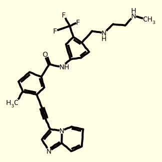 CNCCNCc1ccc(NC(=O)c2ccc(C)c(C#Cc3cnc4ccccn34)c2)cc1C(F)(F)F